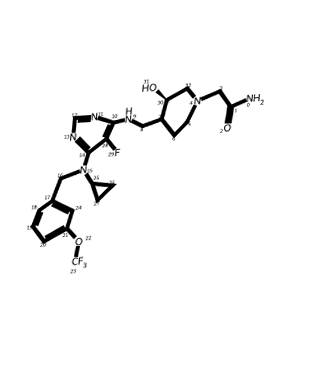 NC(=O)CN1CCC(CNc2ncnc(N(Cc3cccc(OC(F)(F)F)c3)C3CC3)c2F)[C@@H](O)C1